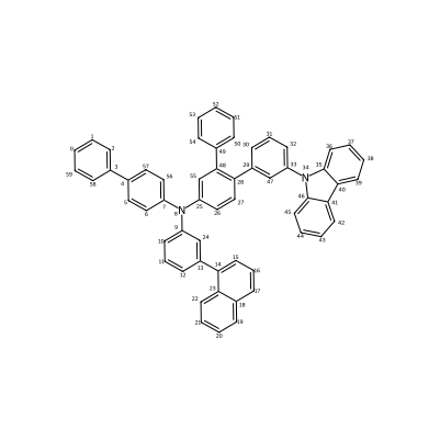 c1ccc(-c2ccc(N(c3cccc(-c4cccc5ccccc45)c3)c3ccc(-c4cccc(-n5c6ccccc6c6ccccc65)c4)c(-c4ccccc4)c3)cc2)cc1